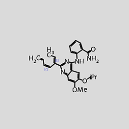 C=C/C=C\C(=C/C)c1nc(Nc2ccccc2C(N)=O)c2cc(OC(C)C)c(OC)cc2n1